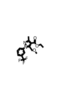 CCOC(=O)c1c(C)nn(-c2cccc(C(F)(F)F)c2)c1COC